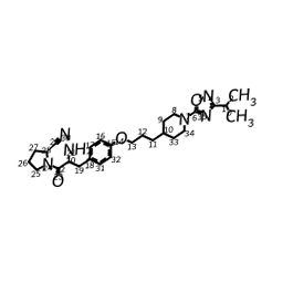 CC(C)c1noc(N2CCC(CCCOc3ccc(C[C@H](N)C(=O)N4CCC[C@H]4C#N)cc3)CC2)n1